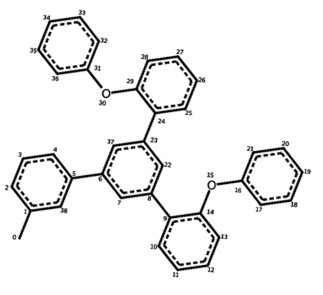 Cc1cccc(-c2cc(-c3ccccc3Oc3ccccc3)cc(-c3ccccc3Oc3ccccc3)c2)c1